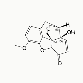 COc1ccc2c3c1OC1C(=O)C=C[C@@]4(O)[C@H](CCC[C@]314)C2